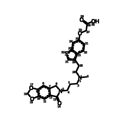 CN(CCCN1Cc2cc3c(cc2C1=O)OCO3)CCc1csc2cc(OCC(=O)O)ccc12